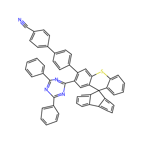 N#Cc1ccc(-c2ccc(-c3cc4c(cc3-c3nc(-c5ccccc5)nc(-c5ccccc5)n3)C3(c5ccccc5S4)c4ccccc4-c4ccccc43)cc2)cc1